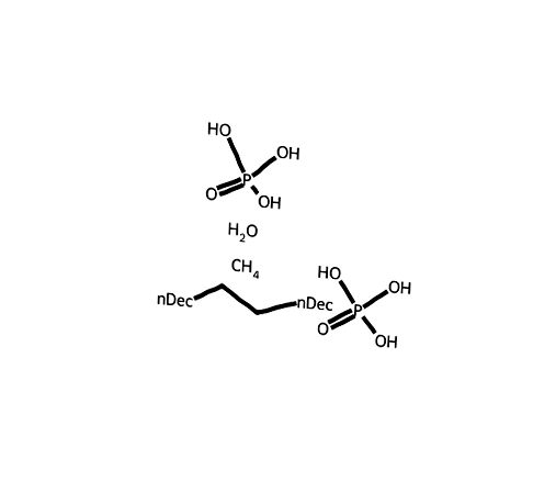 C.CCCCCCCCCCCCCCCCCCCCCC.O.O=P(O)(O)O.O=P(O)(O)O